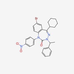 CC(c1ccccc1)N1N=C(C2CCCCC2)c2cc(Br)ccc2N(c2ccc([N+](=O)[O-])cc2)C1=O